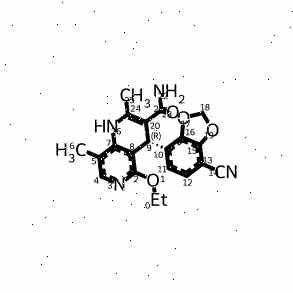 CCOc1ncc(C)c2c1[C@@H](c1ccc(C#N)c3c1OCO3)C(C(N)=O)=C(C)N2